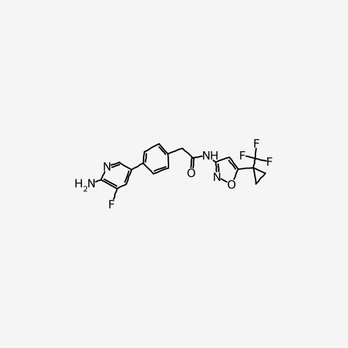 Nc1ncc(-c2ccc(CC(=O)Nc3cc(C4(C(F)(F)F)CC4)on3)cc2)cc1F